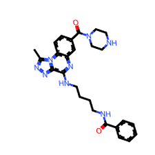 Cc1nnc2c(NCCCCNC(=O)c3ccccc3)nc3cc(C(=O)N4CCNCC4)ccc3n12